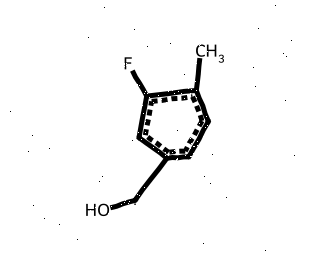 Cc1ccc([CH]O)cc1F